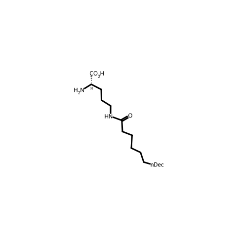 CCCCCCCCCCCCCCCC(=O)NCCC[C@H](N)C(=O)O